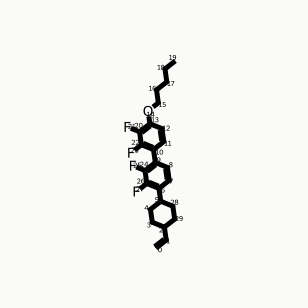 C=CC1CCC(c2ccc(-c3ccc(OCCCCC)c(F)c3F)c(F)c2F)CC1